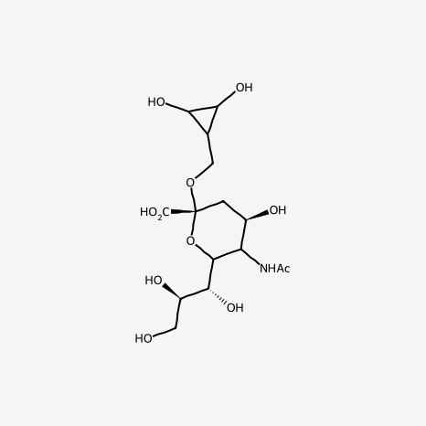 CC(=O)NC1C([C@H](O)[C@H](O)CO)O[C@@](OCC2C(O)C2O)(C(=O)O)C[C@H]1O